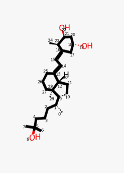 C[C@H](CCCC(C)(C)O)[C@H]1CC[C@H]2/C(=C/C=C3\C[C@@H](O)C[C@H](O)[C@@H]3C)CCC[C@]12C